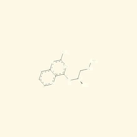 CCCC[C@H](CNSC)Nc1nc(N)nc2cccnc12